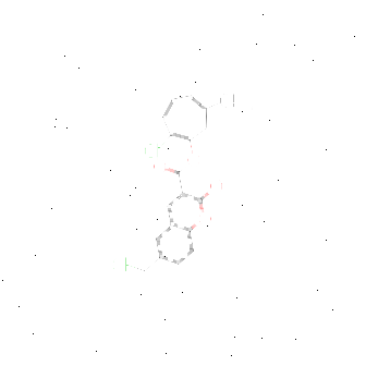 CC1=CC=CC(Cl)=C(OC(=O)c2cc3cc(CCl)ccc3oc2=O)C1